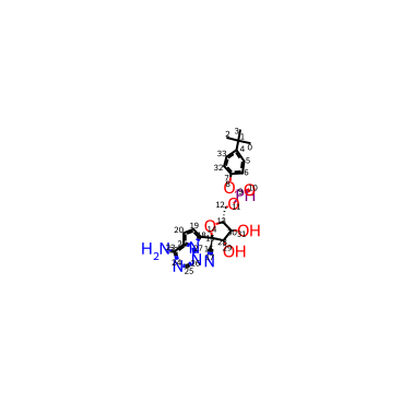 CC(C)(C)c1ccc(O[PH](=O)OC[C@H]2O[C@@](C#N)(c3ccc4c(N)ncnn34)[C@H](O)[C@@H]2O)cc1